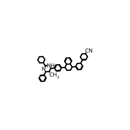 CC1C(c2ccccc2)N=C(C2CCCCC2)NC1c1ccc(C2CCC(C3=CC=CC(C4=CCC(C#N)CC4)C3)C3C=CC=CC23)cc1